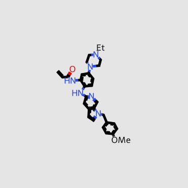 C=CC(=O)Nc1cc(N2CCN(CC)CC2)ccc1Nc1cc2ccn(Cc3ccc(OC)cc3)c2cn1